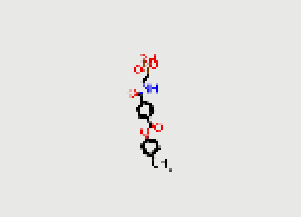 Cc1ccc(OC(=O)c2ccc(C(=O)NCCS(=O)(=O)O)cc2)cc1